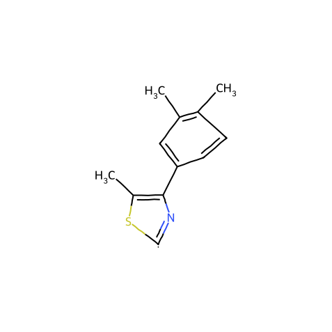 Cc1ccc(-c2n[c]sc2C)cc1C